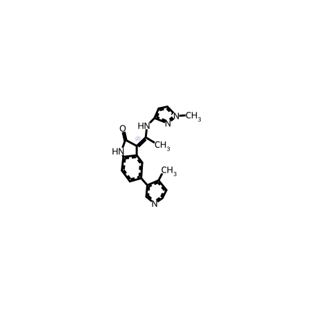 C/C(Nc1ccn(C)n1)=C1/C(=O)Nc2ccc(-c3cnccc3C)cc21